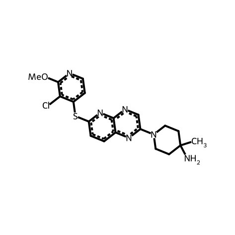 COc1nccc(Sc2ccc3nc(N4CCC(C)(N)CC4)cnc3n2)c1Cl